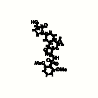 COc1cccc(OC)c1S(=O)(=O)Nc1noc2c1CC1(CC1)c1ccc(N3CC[C@H](O)C3=O)cc1-2